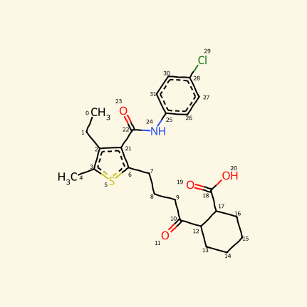 CCc1c(C)sc(CCCC(=O)C2CCCCC2C(=O)O)c1C(=O)Nc1ccc(Cl)cc1